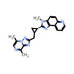 Cc1ncc(C)n2nc(CC3C[C@H]3c3nc4c5cccnc5ccc4n3C)nc12